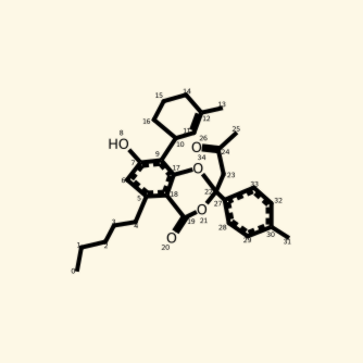 CCCCCc1cc(O)c(C2C=C(C)CCC2)c2c1C(=O)OC(CC(C)=O)(c1ccc(C)cc1)O2